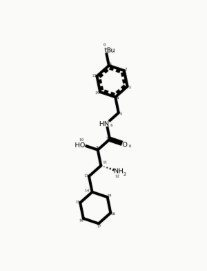 CC(C)(C)c1ccc(CNC(=O)C(O)[C@H](N)CC2CCCCC2)cc1